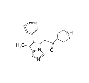 CC1=C(c2ccccc2)C(CC(=O)C2CCNCC2)n2cncc21